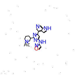 CC(=O)N1CCCC(c2nc(Nc3ccon3)cc(-c3cncc4[nH]ccc34)n2)C1